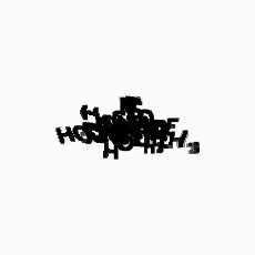 Cc1cc(NC(=O)c2c(C)c(C(=O)C(=O)N[C@]3(C)CC[C@H](O)CC3)n(C)c2-c2nccs2)ccc1F